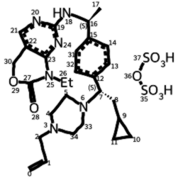 C=CCN1CCN([C@@H](CC2CC2)c2ccc([C@H](C)Nc3ncc4c(n3)N(CC)C(=O)OC4)cc2)CC1.O=S(=O)(O)OS(=O)(=O)O